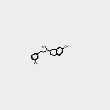 CCCN(CCc1cccc(O)c1)C1CCc2ccc(O)cc2C1